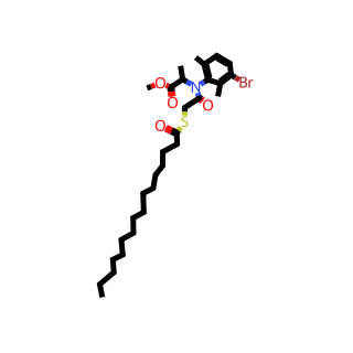 CCCCCCCCCCCCCCCC(=O)SCC(=O)N(c1c(C)ccc(Br)c1C)C(C)C(=O)OC